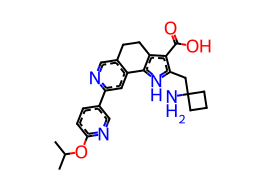 CC(C)Oc1ccc(-c2cc3c(cn2)CCc2c-3[nH]c(CC3(N)CCC3)c2C(=O)O)cn1